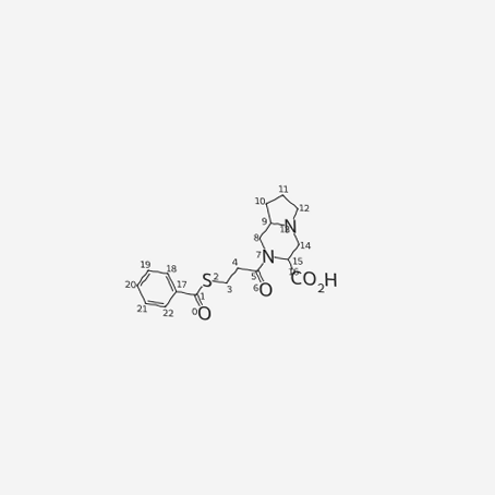 O=C(SCCC(=O)N1CC2CCCN2CC1C(=O)O)c1ccccc1